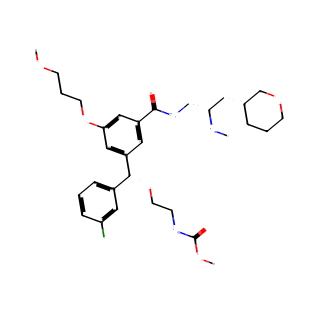 CN[C@H](CNC(=O)c1cc(OCCCOC)cc([C@H](OCCNC(=O)OC)c2cccc(Cl)c2)c1)C[C@H]1CCCOC1